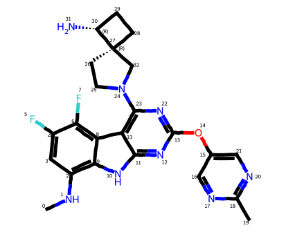 CNc1cc(F)c(F)c2c1[nH]c1nc(Oc3cnc(C)nc3)nc(N3CC[C@]4(CC[C@H]4N)C3)c12